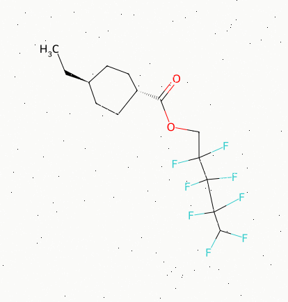 CC[C@H]1CC[C@H](C(=O)OCC(F)(F)C(F)(F)C(F)(F)C(F)F)CC1